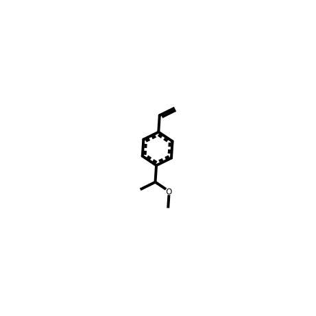 C=Cc1ccc(C(C)OC)cc1